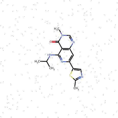 Cc1ncc(-c2cc3ncn(C)c(=O)c3c(NC(C)C)n2)s1